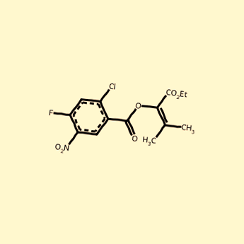 CCOC(=O)C(OC(=O)c1cc([N+](=O)[O-])c(F)cc1Cl)=C(C)C